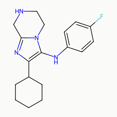 Fc1ccc(Nc2c(C3CCCCC3)nc3n2CCNC3)cc1